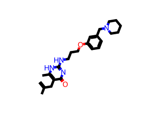 C=C(C)Cc1c(C)[nH]c(NCCCOc2cccc(CN3CCCCC3)c2)nc1=O